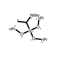 CCCO[Si](OCCC)(OCCC)C(C)NC